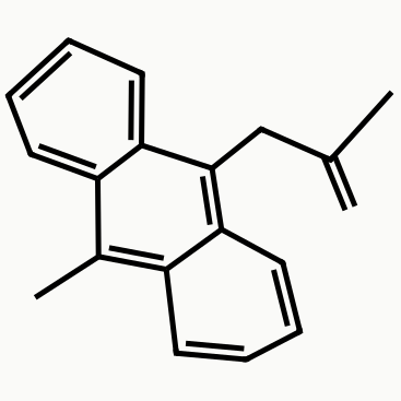 C=C(C)Cc1c2ccccc2c(C)c2ccccc12